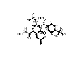 CC(C)CC(CC(=O)NO)C(=O)N(Cc1ccc(C(F)(F)F)cc1)C(=O)[C@@H](N)C(C)C